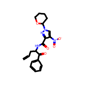 C=CCC(NC(=O)c1nn(C2CCCCO2)cc1[N+](=O)[O-])C(=O)c1ccccc1